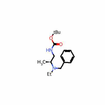 CCN(Cc1ccccc1)[C@@H](C)CNC(=O)OC(C)(C)C